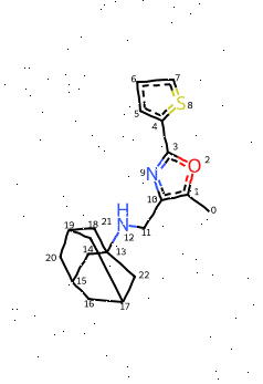 Cc1oc(-c2cccs2)nc1CNC12CC3CC(CC(C3)C1)C2